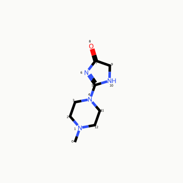 CN1CCN(C2=NC(=O)CN2)CC1